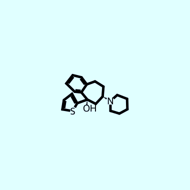 O[C@@]1(c2cccs2)C[C@@H](N2CCCCC2)CCc2ccccc21